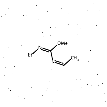 C/C=N\C(=N/CC)OC